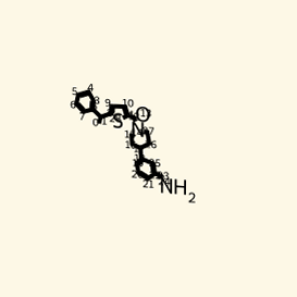 CC(c1ccccc1)c1ccc(C(=O)N2CCC(c3cccc(CN)c3)CC2)s1